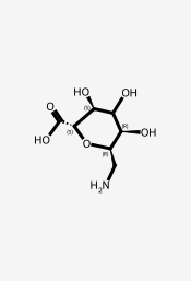 NC[C@H]1O[C@H](C(=O)O)[C@@H](O)C(O)[C@H]1O